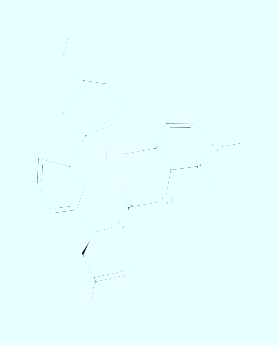 COc1cccc(-c2cccc([C@H](CC(=O)O)NC(=O)Nc3c(O)ccn(C)c3=O)c2)c1